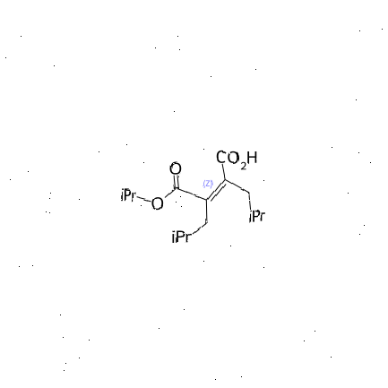 CC(C)C/C(C(=O)O)=C(\CC(C)C)C(=O)OC(C)C